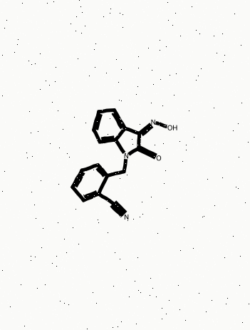 N#Cc1ccccc1CN1C(=O)/C(=N\O)c2ccccc21